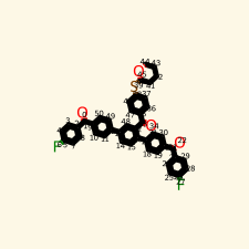 O=C(c1ccc(F)cc1)c1ccc(-c2ccc(-c3ccc(C(=O)c4ccc(F)cc4)cc3)c(C(=O)c3ccc(SC4CCCCO4)cc3)c2)cc1